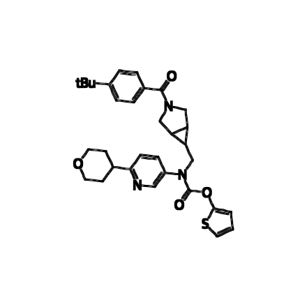 CC(C)(C)c1ccc(C(=O)N2CC3C(C2)C3CN(C(=O)Oc2cccs2)c2ccc(C3CCOCC3)nc2)cc1